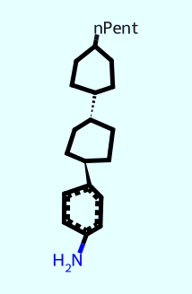 CCCCCC1CCC([C@H]2CC[C@H](c3ccc(N)cc3)CC2)CC1